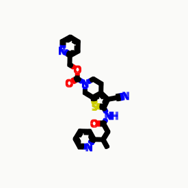 CC(CC(=O)Nc1sc2c(c1C#N)CCN(C(=O)OCc1ccccn1)C2)c1ccccn1